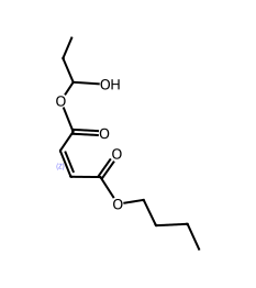 CCCCOC(=O)/C=C\C(=O)OC(O)CC